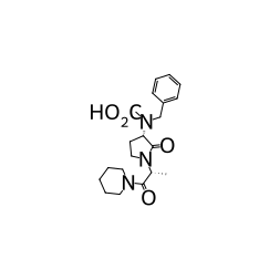 C[C@H](C(=O)N1CCCCC1)N1CC[C@H](N(Cc2ccccc2)C(=O)O)C1=O